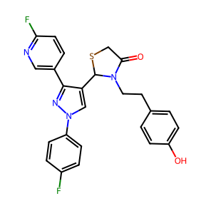 O=C1CSC(c2cn(-c3ccc(F)cc3)nc2-c2ccc(F)nc2)N1CCc1ccc(O)cc1